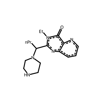 CCCC(c1nc2cccnc2c(=O)n1CC)N1CCNCC1